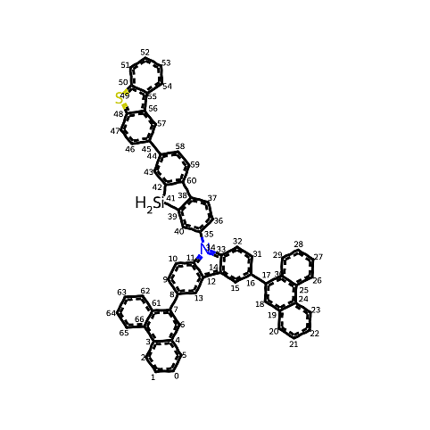 c1ccc2c(c1)cc(-c1ccc3c(c1)c1cc(-c4cc5ccccc5c5ccccc45)ccc1n3-c1ccc3c(c1)[SiH2]c1cc(-c4ccc5sc6ccccc6c5c4)ccc1-3)c1ccccc12